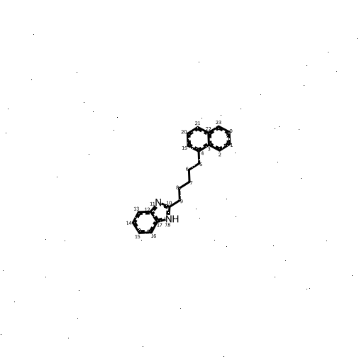 c1ccc2c(CCCCCc3nc4ccccc4[nH]3)cccc2c1